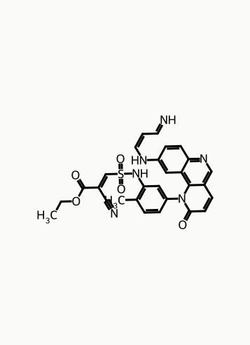 CCOC(=O)/C(C#N)=C/S(=O)(=O)Nc1cc(-n2c(=O)ccc3cnc4ccc(N/C=C\C=N)cc4c32)ccc1C